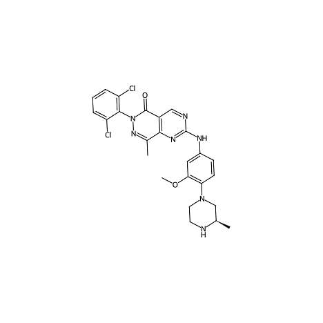 COc1cc(Nc2ncc3c(=O)n(-c4c(Cl)cccc4Cl)nc(C)c3n2)ccc1N1CCN[C@H](C)C1